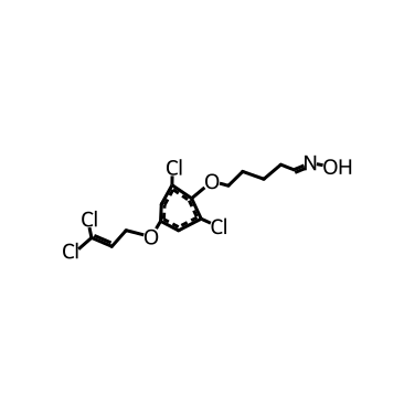 O/N=C/CCCCOc1c(Cl)cc(OCC=C(Cl)Cl)cc1Cl